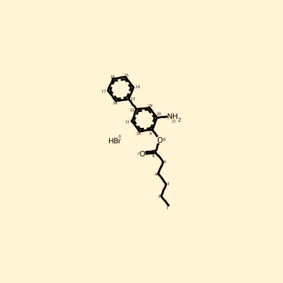 Br.CCCCCC(=O)Oc1ccc(-c2ccccc2)cc1N